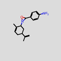 C=C(C)C1CC=C(C)C(N2OC2c2ccc(N)cc2)C1